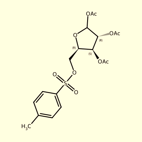 CC(=O)OC1O[C@H](COS(=O)(=O)c2ccc(C)cc2)[C@H](OC(C)=O)[C@H]1OC(C)=O